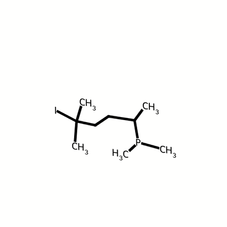 CC(CCC(C)(C)I)P(C)C